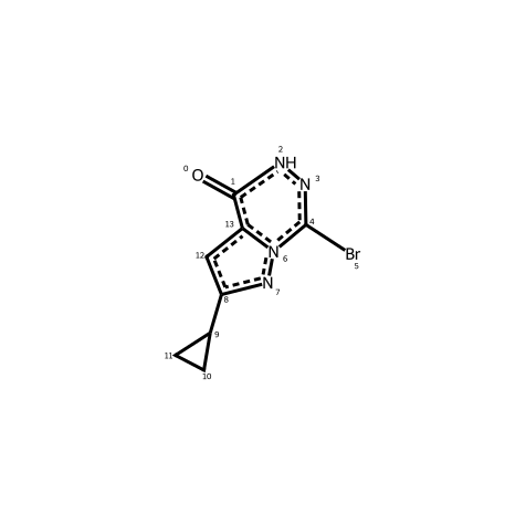 O=c1[nH]nc(Br)n2nc(C3CC3)cc12